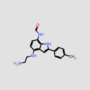 Cc1ccc(-c2cc3c(NCCN)ccc(NC=O)c3[nH]2)cc1